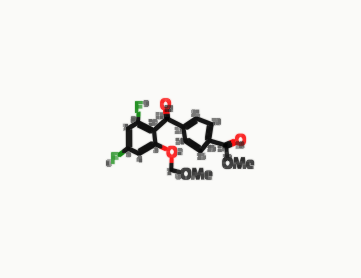 COCOc1cc(F)cc(F)c1C(=O)c1ccc(C(=O)OC)cc1